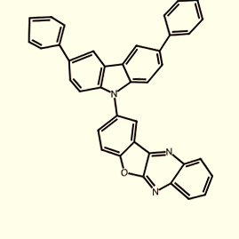 c1ccc(-c2ccc3c(c2)c2cc(-c4ccccc4)ccc2n3-c2ccc3oc4nc5ccccc5nc4c3c2)cc1